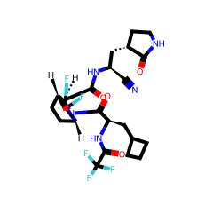 N#C[C@H](C[C@@H]1CCNC1=O)NC(=O)[C@@H]1[C@H]2CC[C@H](CC2(F)F)N1C(=O)[C@@H](CC1CCC1)NC(=O)C(F)(F)F